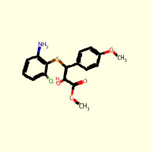 COC(=O)C(O)C(Sc1c(N)cccc1Cl)c1ccc(OC)cc1